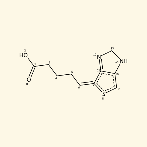 O=C(O)CCCC=c1scc2c1=NCN2